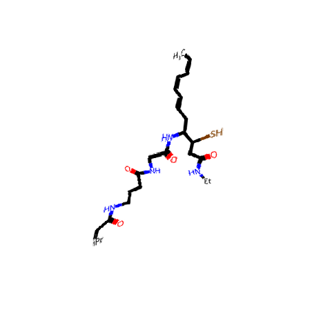 C\C=C/C=C\C=C\CC(NC(=O)CNC(=O)CCCNC(=O)CC(C)C)C(S)CC(=O)NCC